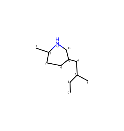 CCC(C)CC1CCC(C)NC1